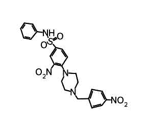 O=[N+]([O-])c1ccc(CN2CCN(c3ccc(S(=O)(=O)Nc4ccccc4)cc3[N+](=O)[O-])CC2)cc1